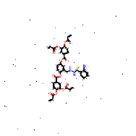 C=CC(=O)Oc1ccc(C(=O)Oc2ccc(OC(=O)c3ccc(OC(=O)C=C)c(OC(=O)C=C)c3)c(CNN[C@H](S)c3ccccc3N)c2)cc1OC(=O)C=C